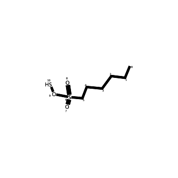 CCCCCCS(=O)(=O)OS